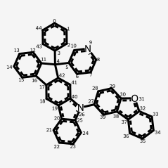 c1ccc(C2(c3cccnc3)c3ccccc3-c3cc4c5ccccc5n(-c5ccc6oc7ccccc7c6c5)c4cc32)cc1